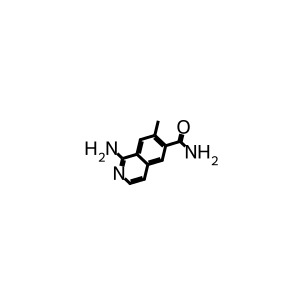 Cc1cc2c(N)nccc2cc1C(N)=O